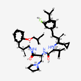 CC(C)COc1ccccc1C[C@H](C)CNC(=O)[C@H](CN1CCCC1)NC(=O)[C@H](NC(=C1CC1)[C@H](C)Cc1ccc(C(C)C)c(F)c1)C(C)C